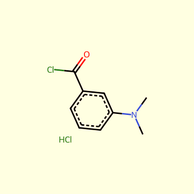 CN(C)c1cccc(C(=O)Cl)c1.Cl